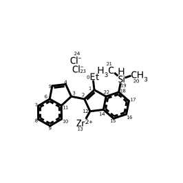 CCC1=C(C2C=Cc3ccccc32)[CH]([Zr+2])c2cccc([SiH](C)C)c21.[Cl-].[Cl-]